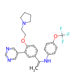 C=C(Nc1ccc(OC(F)(F)F)cc1)c1ccc(OCCN2CCCC2)c(-c2cncnc2)c1